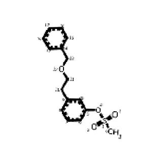 CS(=O)(=O)Oc1cccc(CCOCc2ccccc2)c1